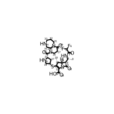 C[C@@H](NC(=O)C(F)F)[C@H]1C(=O)N2C(C(=O)O)=C(S[C@@H]3CN[C@H](C(=O)N(C)CCC(=O)N4CCCNCC4)C3)[C@H](C)[C@H]12